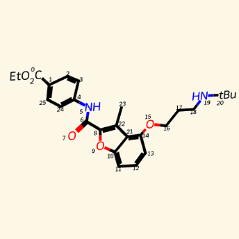 CCOC(=O)c1ccc(NC(=O)c2oc3cccc(OCCCNC(C)(C)C)c3c2C)cc1